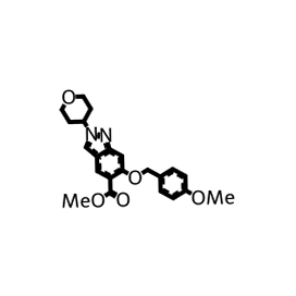 COC(=O)c1cc2cn(C3CCOCC3)nc2cc1OCc1ccc(OC)cc1